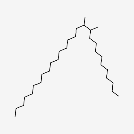 CCCCCCCCCCCCCCCCC(C)C(C)CCCCCCCCCC